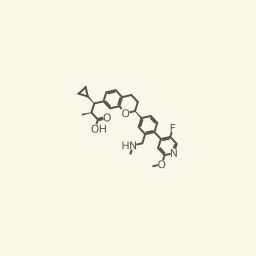 CNCc1cc([C@@H]2CCc3ccc([C@H](C4CC4)[C@H](C)C(=O)O)cc3O2)ccc1-c1cc(OC)ncc1F